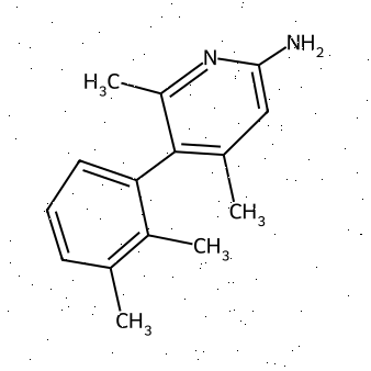 Cc1cccc(-c2c(C)cc(N)nc2C)c1C